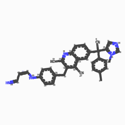 Cc1ccc(C(C#N)(c2ccc3nc(C#N)c(Cc4ccc(N/C=C\C=N)cc4)c(C#N)c3c2)c2cncn2C)cc1